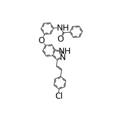 O=C(Nc1cccc(Oc2ccc3c(C=Cc4ccc(Cl)cc4)n[nH]c3c2)c1)c1ccccc1